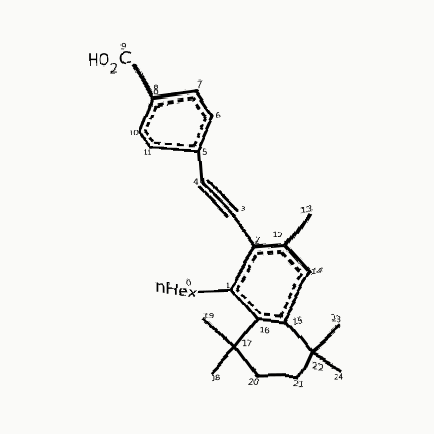 CCCCCCc1c(C#Cc2ccc(C(=O)O)cc2)c(C)cc2c1C(C)(C)CCC2(C)C